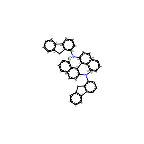 CCN(c1cccc2c1Cc1ccccc1-2)c1ccc2ccccc2c1-c1c(N(CC)c2cccc3c2Cc2ccccc2-3)ccc2ccccc12